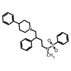 CN(CCC(CN1CCC(c2ccccc2)CC1)c1ccccc1)S(=O)(=O)c1ccccc1